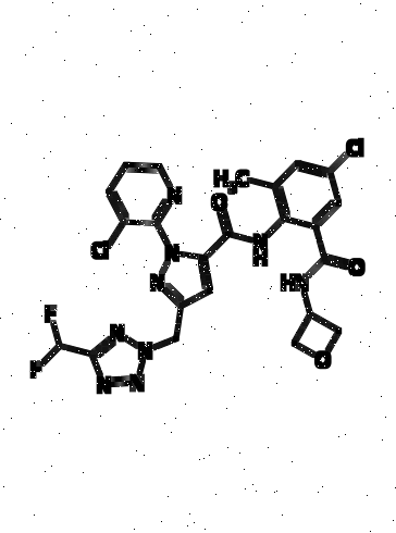 Cc1cc(Cl)cc(C(=O)NC2COC2)c1NC(=O)c1cc(Cn2nnc(C(F)F)n2)nn1-c1ncccc1Cl